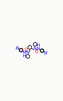 CN(C)c1ccc(NC(=O)N(CC2CCCCC2CN(C(=O)Nc2ccc(N(C)C)cc2)C2CCCCC2)C2CCCCC2)cc1